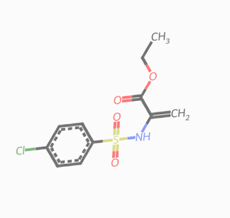 C=C(NS(=O)(=O)c1ccc(Cl)cc1)C(=O)OCC